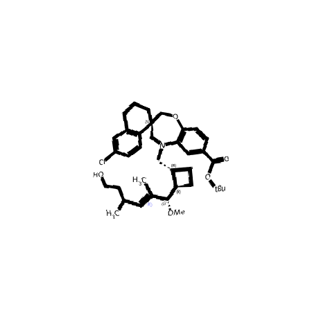 CO[C@H](/C(C)=C/C(C)CCO)[C@@H]1CC[C@H]1CN1C[C@@]2(CCCc3cc(Cl)ccc32)COc2ccc(C(=O)OC(C)(C)C)cc21